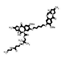 C=C1C[C@H]2C=Nc3cc(OCCCCCOc4cc5c(cc4OC)C(=O)N4CC(=C)C[C@H]4C(O)N5C(=O)OCC(C)(C)SSCCC(=O)NCCN)c(OC)cc3C(=O)N2C1